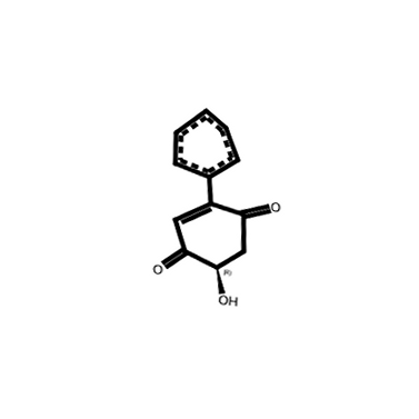 O=C1C[C@@H](O)C(=O)C=C1c1ccccc1